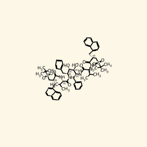 CC(C)[C@H](NC(=O)[C@H](Cc1cccc2ccccc12)CS(=O)(=O)C(C)(C)C)C(=O)N[C@@H](Cc1ccccc1)[C@H](O)[C@@H](O)[C@H](Cc1ccccc1)NC(=O)[C@@H](NC(=O)[C@H](Cc1cccc2ccccc12)CS(=O)(=O)C(C)(C)C)C(C)C